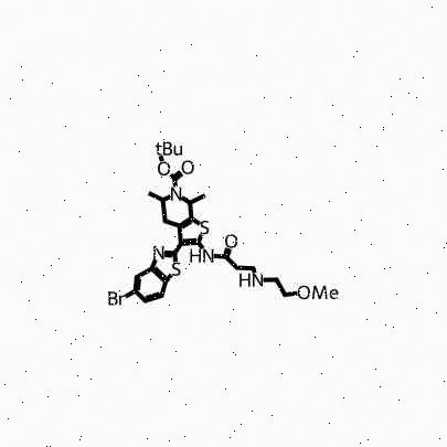 COCCNCCC(=O)Nc1sc2c(c1-c1nc3cc(Br)ccc3s1)CC(C)N(C(=O)OC(C)(C)C)C2C